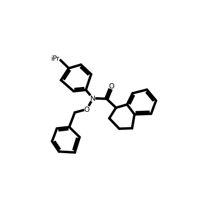 CC(C)c1ccc(N(OCc2ccccc2)C(=O)C2CCCc3ccccc32)cc1